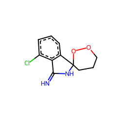 N=C1NC2(CCCOO2)c2cccc(Cl)c21